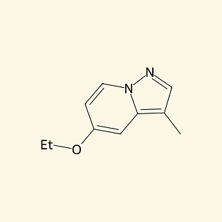 CCOc1ccn2ncc(C)c2c1